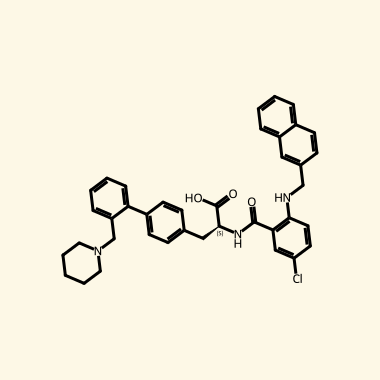 O=C(N[C@@H](Cc1ccc(-c2ccccc2CN2CCCCC2)cc1)C(=O)O)c1cc(Cl)ccc1NCc1ccc2ccccc2c1